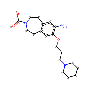 Nc1cc2c(cc1OCCCN1CCCCC1)CCN(C(=O)O)CC2